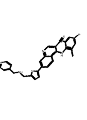 Cc1cc(Br)cc(Cl)c1Nc1c(C#N)cnc2cc(-c3ccc(CNCc4ccncc4)o3)ccc12